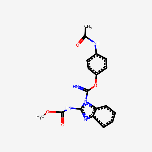 COC(=O)Nc1nc2ccccc2n1C(=N)Oc1ccc(NC(C)=O)cc1